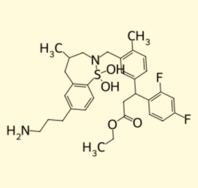 CCOC(=O)CC(c1ccc(C)c(CN2CC(C)Cc3cc(CCCN)ccc3S2(O)O)c1)c1ccc(F)cc1F